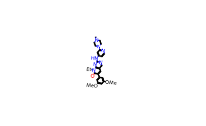 CCn1c(=O)c(-c2cc(OC)cc(OC)c2)cc2cnc(Nc3ccnc(N4CCN(C)CC4)c3)nc21